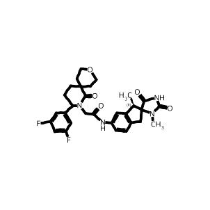 C[C@@H]1c2cc(NC(=O)CN3C(=O)C4(CCOCC4)CCC3c3cc(F)cc(F)c3)ccc2CC12C(=O)NC(=O)N2C